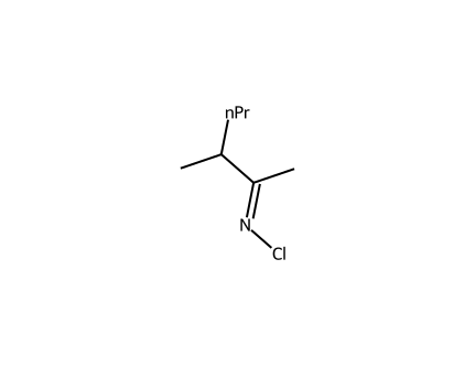 CCCC(C)/C(C)=N/Cl